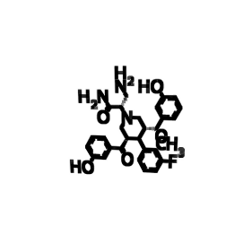 Cc1c(F)cccc1C1[C@@H](C(=O)c2cccc(O)c2)CN([C@@H](CN)C(N)=O)C[C@@H]1C(=O)c1cccc(O)c1